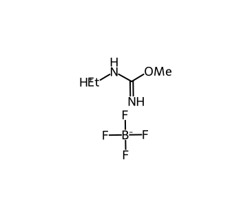 CCNC(=N)OC.F[B-](F)(F)F.[H+]